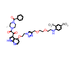 C[C@@H]1CN(C(=O)c2ccccc2)CCN1C(=O)C(=O)c1c[nH]c2nccc(OCCn3cc(COCCOCCNc4ccc([N+](=O)[O-])cc4[N+](=O)[O-])nn3)c12